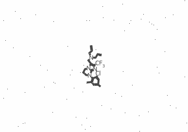 C=CCN(CC=C)Cc1c(C(F)(F)F)nc2n1CCCN2c1c(C)cc(C)cc1Cl